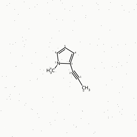 CC#Cc1cccn1C